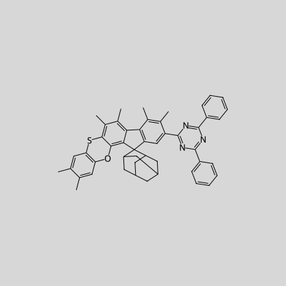 Cc1cc2c(cc1C)Sc1c(C)c(C)c3c(c1O2)C1(c2cc(-c4nc(-c5ccccc5)nc(-c5ccccc5)n4)c(C)c(C)c2-3)C2CC3CC(C2)CC1C3